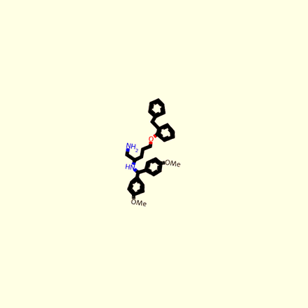 COc1ccc(C(NC(CN)CCCOc2ccccc2Cc2ccccc2)c2ccc(OC)cc2)cc1